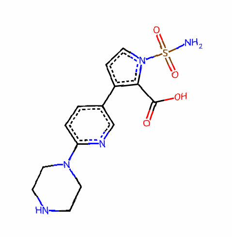 NS(=O)(=O)n1ccc(-c2ccc(N3CCNCC3)nc2)c1C(=O)O